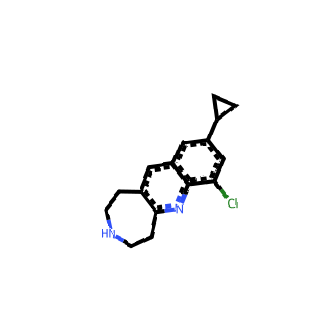 Clc1cc(C2CC2)cc2cc3c(nc12)CCNCC3